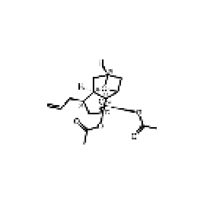 C=CC[C@@H]1C[C@]2(OC(C)=O)C[C@H](OC(C)=O)O[C@@]23C2C[C@@H](C[C@H]13)O2